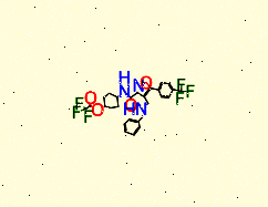 O=C(N[C@H]1CC[C@H](OC(=O)C(F)(F)F)CC1)c1noc(-c2ccc(C(F)(F)F)cc2)c1CNCc1ccccc1